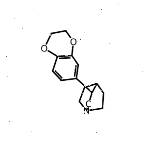 c1cc2c(cc1C1CN3CCC1CC3)OCCO2